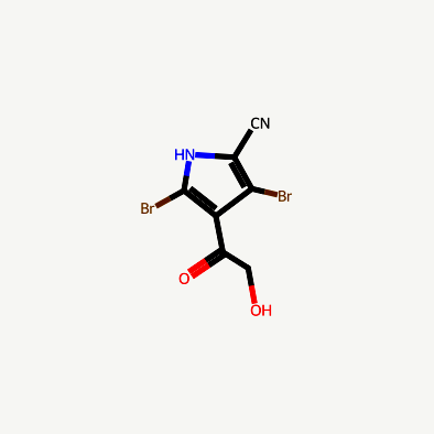 N#Cc1[nH]c(Br)c(C(=O)CO)c1Br